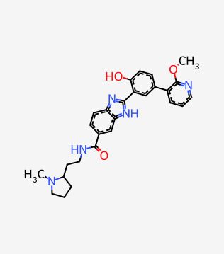 COc1ncccc1-c1ccc(O)c(-c2nc3ccc(C(=O)NCCC4CCCN4C)cc3[nH]2)c1